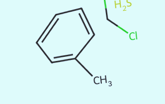 Cc1ccccc1.ClCCl.S